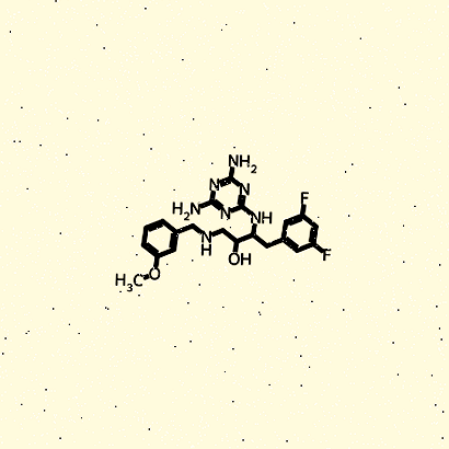 COc1cccc(CNCC(O)C(Cc2cc(F)cc(F)c2)Nc2nc(N)nc(N)n2)c1